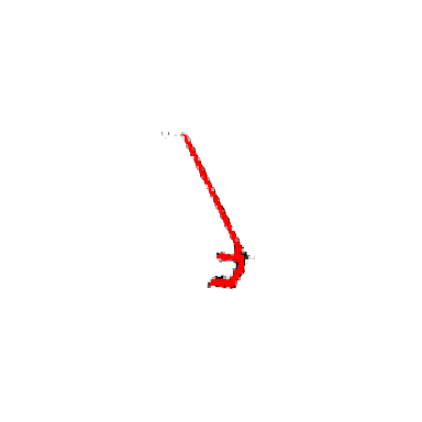 COCCOCCOCCOCCOCCOCCOCCOCCOCCOCCOCCOCCOCCOCCOCCOCCOCCOCCOCCOCCOCCOCCOC(C)C(=O)O[C@@H]1C[C@@H](C(=O)NCc2ccc(-c3scnc3C)cc2)N(C(=O)[C@@H](NC(=O)CN2CC(N3CCN(c4ccc(-c5cnc6[nH]cc(C(=O)c7c(F)ccc(NS(=O)(=O)N8CC[C@@H](F)C8)c7F)c6c5)cc4)CC3)C2)C(C)(C)C)C1